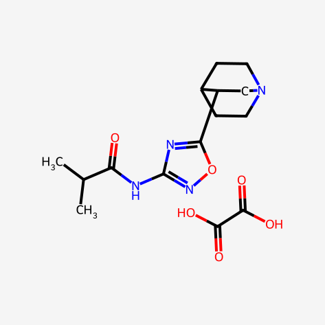 CC(C)C(=O)Nc1noc(C2CN3CCC2CC3)n1.O=C(O)C(=O)O